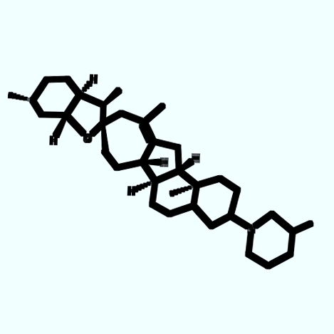 CC1=C2C[C@H]3[C@@H](CCC4CC(N5CCCC(C)C5)CC[C@@]43C)[C@@H]2CC[C@@]2(C1)O[C@@H]1C[C@H](C)CC[C@H]1[C@H]2C